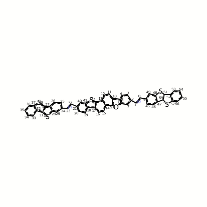 C(=C\c1ccc2c(c1)oc1c2ccc2c1ccc1c3ccc(/C=C/c4ccc5c(c4)sc4c6ccccc6sc54)cc3sc12)/c1ccc2c(c1)SC1c3ccccc3SC21